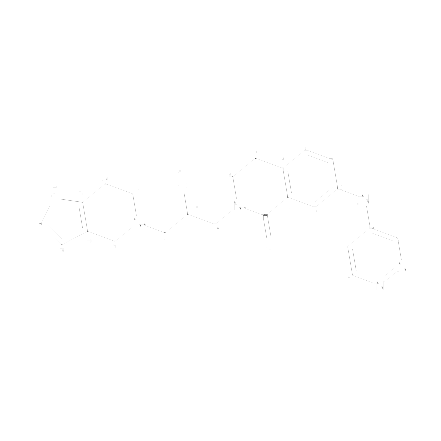 O=C1c2cc(Nc3ccnnc3)ccc2CCN1CC(O)CN1CCc2sccc2C1